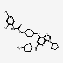 N[C@H]1CC[C@H](Nc2nc(NC3CCN(OC(=O)Nc4ccc(Cl)cc4Cl)CC3)c3ncn(C4CCCC4)c3n2)CC1